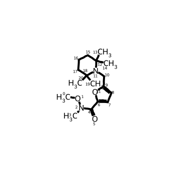 CON(C)C(=O)c1ccc(CN2C(C)(C)CCCC2(C)C)o1